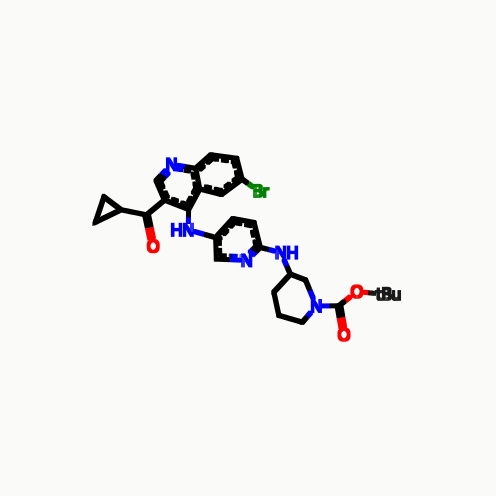 CC(C)(C)OC(=O)N1CCCC(Nc2ccc(Nc3c(C(=O)C4CC4)cnc4ccc(Br)cc34)cn2)C1